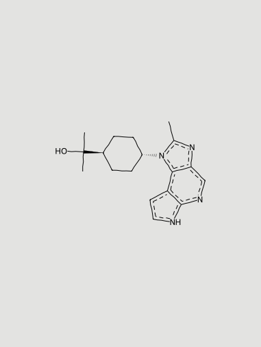 Cc1nc2cnc3[nH]ccc3c2n1[C@H]1CC[C@H](C(C)(C)O)CC1